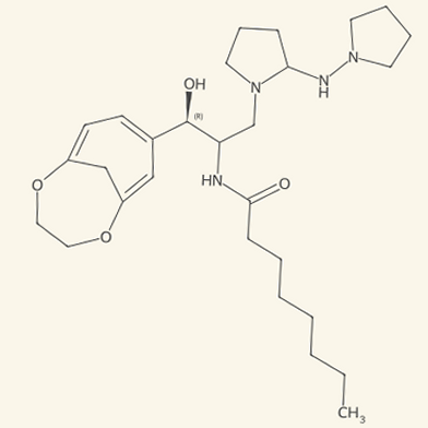 CCCCCCCC(=O)NC(CN1CCCC1NN1CCCC1)[C@H](O)C1=CC=C2CC(=C1)OCCO2